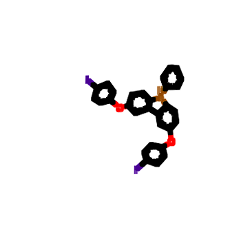 Ic1ccc(Oc2ccc3c(c2)-c2cc(Oc4ccc(I)cc4)ccc2[SH]3c2ccccc2)cc1